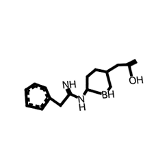 C=C(O)CC1CBC(NC(=N)Cc2ccccc2)CC1